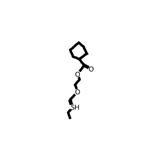 CC[SH]=COCCOC(=O)C1CCCCC1